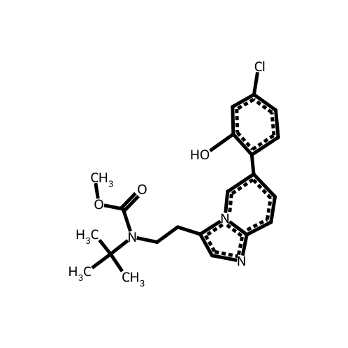 COC(=O)N(CCc1cnc2ccc(-c3ccc(Cl)cc3O)cn12)C(C)(C)C